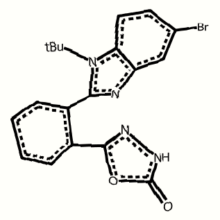 CC(C)(C)n1c(-c2ccccc2-c2n[nH]c(=O)o2)nc2cc(Br)ccc21